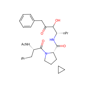 C1CC1.CCC[C@H](NC(=O)[C@@H]1CCCN1C(=O)[C@H](CC(C)C)NC(C)=O)C(O)C(=O)Cc1ccccc1